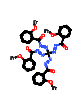 CC(C)Oc1ccccc1C(=O)N=N[Si](N=NC(=O)c1ccccc1OC(C)C)(N=NC(=O)c1ccccc1OC(C)C)N=NC(=O)c1ccccc1OC(C)C